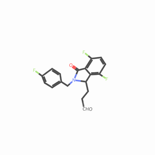 O=CCCC1c2c(F)ccc(F)c2C(=O)N1Cc1ccc(F)cc1